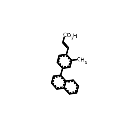 Cc1cc(-c2cccc3ccccc23)ccc1C=CC(=O)O